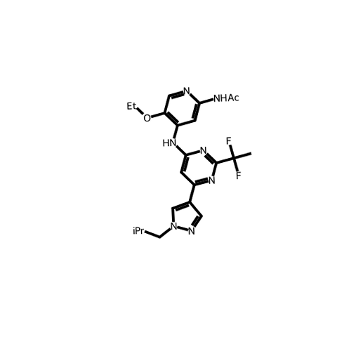 CCOc1cnc(NC(C)=O)cc1Nc1cc(-c2cnn(CC(C)C)c2)nc(C(C)(F)F)n1